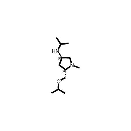 CC(C)N[C@@H]1C[C@@H](COC(C)C)N(C)C1